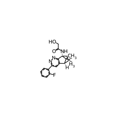 CC1(C)[C@H]2CC[C@]1(NC(=O)CO)c1nnc(-c3ccccc3F)cc12